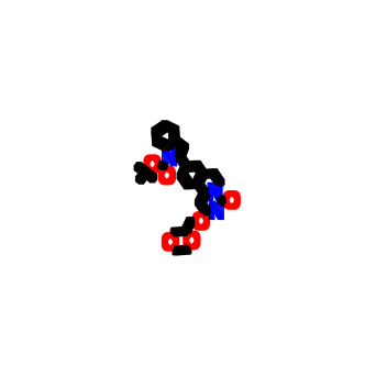 CC(C)(C)OC(=O)n1c(-c2ccc3c(c2)CCn2c-3cc(OCC3COCCO3)nc2=O)cc2ccccc21